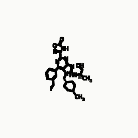 C[C@H](CO)Nc1nc2nc(-c3noc(=O)[nH]3)nc(-c3cccc(CI)c3)c2n1C[C@H]1CC[C@H](C)CC1